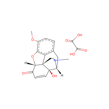 COc1ccc2c3c1O[C@H]1C(=O)C=C[C@@]4(O)[C@@H](C2)N(C)CC[C@]314.O=C(O)C(=O)O